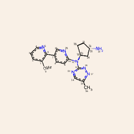 COc1cccnc1-c1ccc(N(c2ncc(C)nn2)[C@H]2CC[C@H](N)C2)nc1